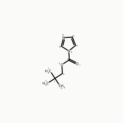 CC(C)(C)COC(=O)n1ccnc1